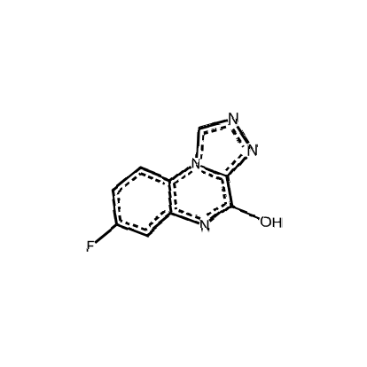 Oc1nc2cc(F)ccc2n2cnnc12